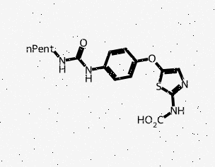 CCCCCNC(=O)Nc1ccc(Oc2cnc(NC(=O)O)s2)cc1